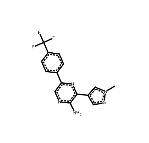 Cn1cc(-c2nc(-c3ccc(C(F)(F)F)cc3)cnc2N)cn1